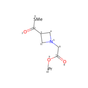 CSC(=O)C1CN(CC(=O)OC(C)C)C1